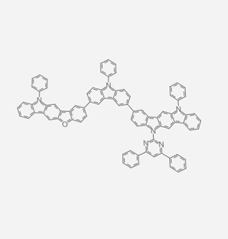 c1ccc(-c2cc(-c3ccccc3)nc(-n3c4ccc(-c5ccc6c(c5)c5cc(-c7ccc8oc9cc%10c%11ccccc%11n(-c%11ccccc%11)c%10cc9c8c7)ccc5n6-c5ccccc5)cc4c4cc5c(cc43)c3ccccc3n5-c3ccccc3)n2)cc1